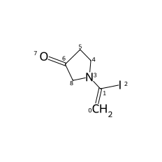 C=C(I)N1CCC(=O)C1